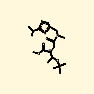 COC(=O)[C@@H](CC(=O)N(C)Cc1csc(C(C)C)n1)C(C)OC(C)(C)C